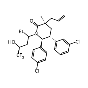 C=CC[C@@]1(C)C[C@H](c2cccc(Cl)c2)[C@@H](c2ccc(Cl)cc2)N(C(CC)C[C@H](O)C(F)(F)F)C1=O